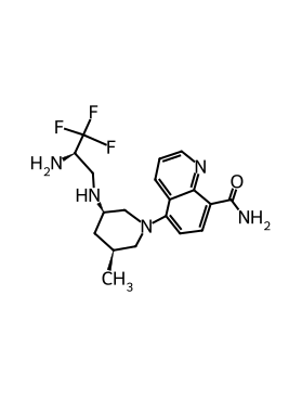 C[C@H]1C[C@@H](NC[C@@H](N)C(F)(F)F)CN(c2ccc(C(N)=O)c3ncccc23)C1